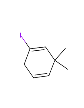 CC1(C)C=CCC(I)=C1